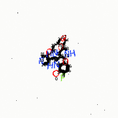 COc1c(F)cccc1Nc1c(-c2ccncc2OCC[C@H]2COCCO2)[nH]c2c1C(=O)NCC2